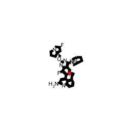 C#Cc1cccc2nc(N)cc(-c3c(F)cc4c(N5CC6CCC(C5)N6)nc(OC[C@@]56CCCN5C[C@H](F)C6)nc4c3F)c12